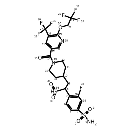 NS(=O)(=O)c1ccc(C(CC2CCN(C(=O)c3cnc(OCC(F)(F)F)c(C(F)(F)F)c3)CC2)[SH](=O)=O)c(F)c1